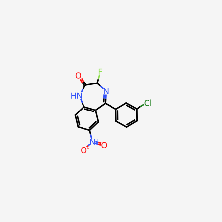 O=C1Nc2ccc([N+](=O)[O-])cc2C(c2cccc(Cl)c2)=NC1F